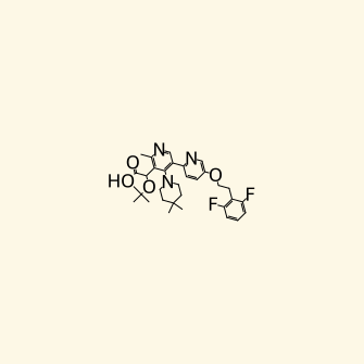 Cc1ncc(-c2ccc(OCCc3c(F)cccc3F)cn2)c(N2CCC(C)(C)CC2)c1C(OC(C)(C)C)C(=O)O